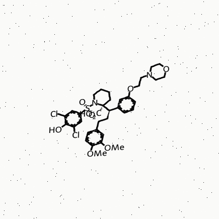 COc1ccc(CC[C@H](c2cccc(OCCN3CCOCC3)c2)[C@]2(C(=O)O)CCCCN2S(=O)(=O)c2cc(Cl)c(O)c(Cl)c2)cc1OC